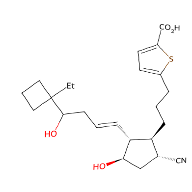 CCC1(C(O)C/C=C/[C@@H]2[C@@H](CCCc3ccc(C(=O)O)s3)[C@H](C#N)C[C@H]2O)CCC1